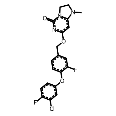 CN1CCn2c1cc(OCc1ccc(Oc3ccc(F)c(Cl)c3)c(F)c1)nc2=O